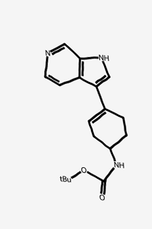 CC(C)(C)OC(=O)NC1CC=C(c2c[nH]c3cnccc23)CC1